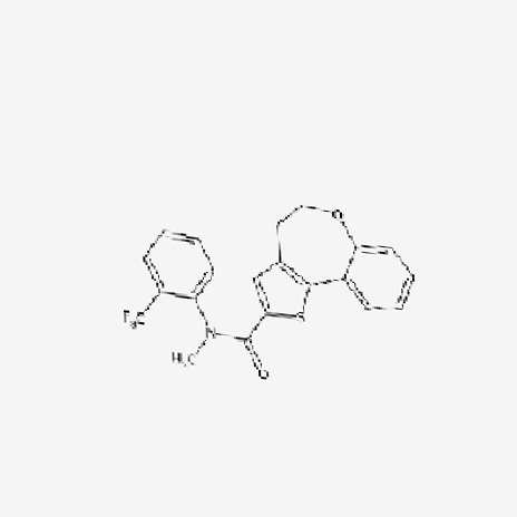 CN(C(=O)c1cc2c(s1)-c1ccccc1OCC2)c1ccccc1C(F)(F)F